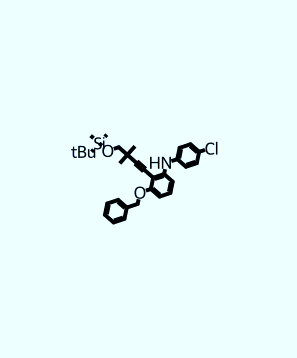 CC(C)(C#Cc1c(Nc2ccc(Cl)cc2)cccc1OCc1ccccc1)CO[Si](C)(C)C(C)(C)C